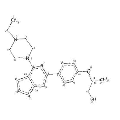 CCN1CCN(c2nc(-c3ccc(O[C@H](C)CO)cc3)cc3sccc23)CC1